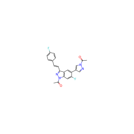 CC(=O)n1cc(-c2cc3c(C=Cc4ccc(F)cc4)nn(C(C)=O)c3cc2F)cn1